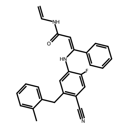 C=CNC(=O)/C=C(\Nc1cc(Cc2ccccc2C)c(C#N)cc1F)c1ccccc1